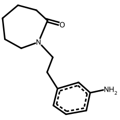 Nc1cccc(CCN2CCCCCC2=O)c1